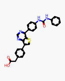 O=C(O)Cc1ccc(-c2csc3c(-c4ccc(NC(=O)Nc5ccccc5)cc4)ncnc23)cc1